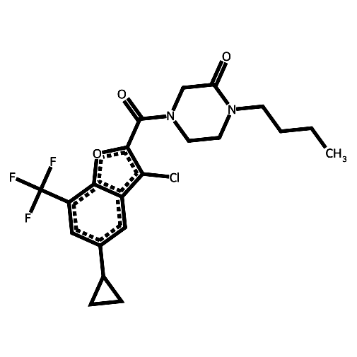 CCCCN1CCN(C(=O)c2oc3c(C(F)(F)F)cc(C4CC4)cc3c2Cl)CC1=O